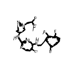 Fc1ccc(F)c(CNc2nc(Nc3cnn(CC(F)F)c3)ncc2Cl)c1F